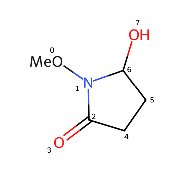 CON1C(=O)CCC1O